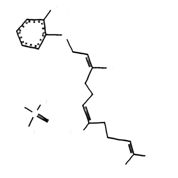 CC(C)=CCCC(C)=CCCC(C)=CCSc1ccccc1C(=O)O.O=P(O)(O)O